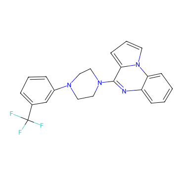 FC(F)(F)c1cccc(N2CCN(c3nc4ccccc4n4cccc34)CC2)c1